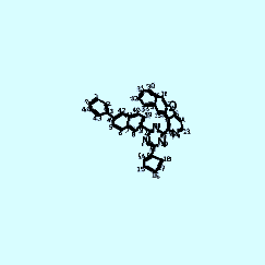 c1ccc(-c2ccc3cc(-c4nc(-c5ccccc5)nc(-c5nccc6oc7cc8ccccc8cc7c56)n4)ccc3c2)cc1